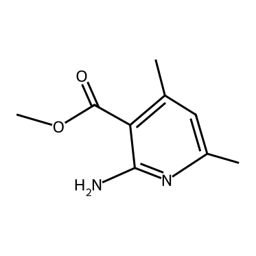 COC(=O)c1c(C)cc(C)nc1N